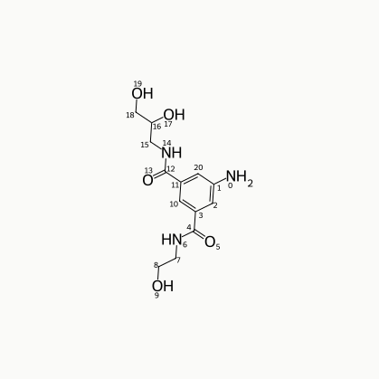 Nc1cc(C(=O)NCCO)cc(C(=O)NCC(O)CO)c1